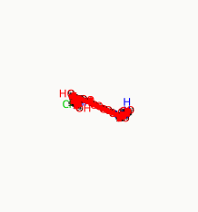 O=C(CCOCCOCCOCCOCCOCCNc1cccc2c1C(=O)N(C1CCC(=O)NC1=O)C2=O)NCCOc1ccc(C(=C(CCCl)c2ccc(O)cc2)c2ccc(O)cc2)cc1